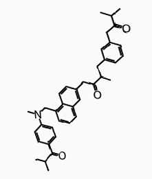 CC(C)C(=O)Cc1cccc(CC(C)C(=O)Cc2ccc3c(CN(C)c4ccc(C(=O)C(C)C)cc4)cccc3c2)c1